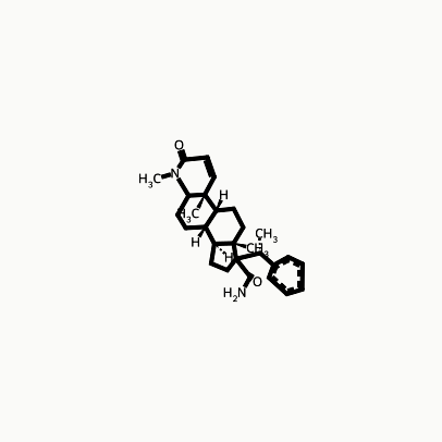 C[C@H](c1ccccc1)C1(C(N)=O)CC[C@H]2[C@@H]3CCC4N(C)C(=O)C=C[C@]4(C)[C@@H]3CC[C@@]21C